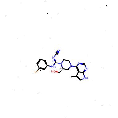 Cc1c[nH]c2ncnc(N3CCN(/C(=N\C#N)Nc4cccc(Br)c4)[C@@H](CO)C3)c12